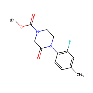 Cc1ccc(N2CCN(C(=O)OC(C)(C)C)CC2=O)c(F)c1